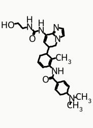 CC1=C(NC(=O)C2=CCC(N(C)C)C=C2)C=CCC1C1C=C(NC(=O)NCCO)c2nccn2C1